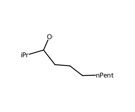 CCCCCCCCC([O])C(C)C